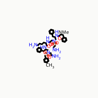 CNC(Cc1ccccc1)C(=O)NC(Cc1ccccc1)CN(CC(=O)NC(CCCCN)C(=O)NC(Cc1ccccc1)CN(CC(N)=O)S(=O)(=O)Cc1ccc(C)cc1)S(=O)(=O)CCN